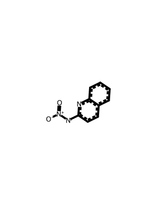 O=[N+]([O-])[N]c1ccc2ccccc2n1